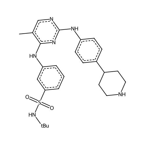 Cc1cnc(Nc2ccc(C3CCNCC3)cc2)nc1Nc1cccc(S(=O)(=O)NC(C)(C)C)c1